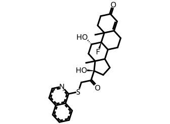 CC12C[C@H](O)[C@@]3(F)C(CCC4=CC(=O)CCC43C)C1CC[C@]2(O)C(=O)CSc1nccc2ccccc12